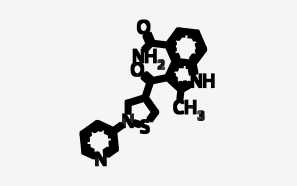 Cc1[nH]c2cccc(C(N)=O)c2c1C(=O)C1CSN(c2cccnc2)C1